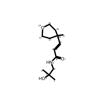 CC(C)(O)CNC(=O)C=CC1(C)CCOCC1